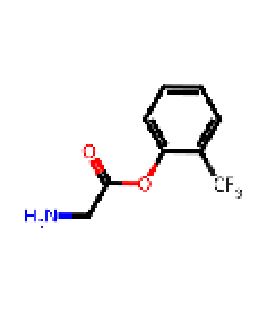 NCC(=O)Oc1ccccc1C(F)(F)F